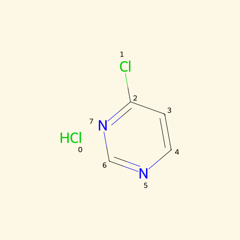 Cl.Clc1ccncn1